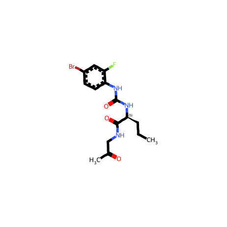 CCC[C@H](NC(=O)Nc1ccc(Br)cc1F)C(=O)NCC(C)=O